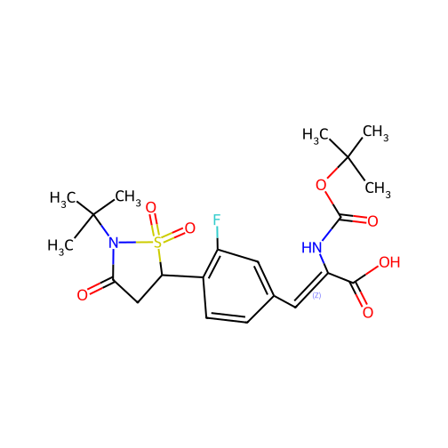 CC(C)(C)OC(=O)N/C(=C\c1ccc(C2CC(=O)N(C(C)(C)C)S2(=O)=O)c(F)c1)C(=O)O